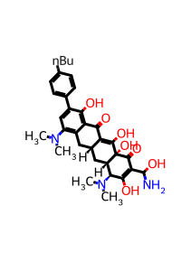 CCCCc1ccc(-c2cc(N(C)C)c3c(c2O)C(=O)C2=C(O)[C@]4(O)C(=O)C(C(N)O)=C(O)[C@@H](N(C)C)[C@@H]4C[C@@H]2C3)cc1